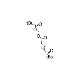 CC(C)(C)C(=O)/C=C/CC(=O)OCOC(=O)C(C)(C)C